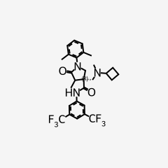 Cc1cccc(C)c1N1C[C@@](CN(C)C2CCC2)(C(=O)Nc2cc(C(F)(F)F)cc(C(F)(F)F)c2)C(C)C1=O